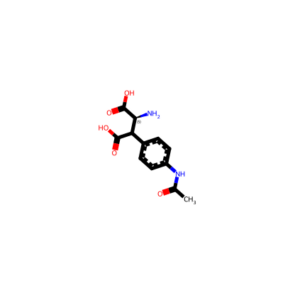 CC(=O)Nc1ccc(C(C(=O)O)[C@H](N)C(=O)O)cc1